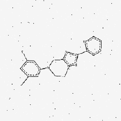 Cc1cc(F)cc(N2CCn3nc(-c4ccccn4)nc3C2)c1